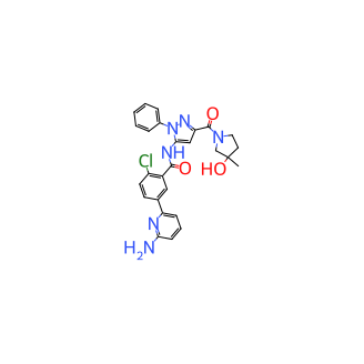 CC1(O)CCN(C(=O)c2cc(NC(=O)c3cc(-c4cccc(N)n4)ccc3Cl)n(-c3ccccc3)n2)C1